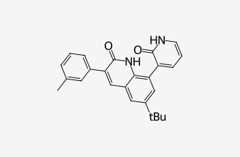 Cc1cccc(-c2cc3cc(C(C)(C)C)cc(-c4ccc[nH]c4=O)c3[nH]c2=O)c1